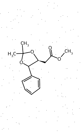 COC(=O)C[C@@H]1OC(C)(C)OC1c1ccccc1